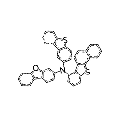 c1ccc2c(c1)ccc1c2sc2cccc(N(c3ccc4c(c3)oc3ccccc34)c3ccc4sc5ccccc5c4c3)c21